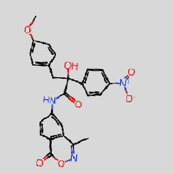 COc1ccc(CC(O)(C(=O)Nc2ccc3c(=O)onc(C)c3c2)c2ccc([N+](=O)[O-])cc2)cc1